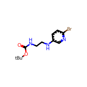 CC(C)(C)OC(=O)NCCNc1ccc(Br)nc1